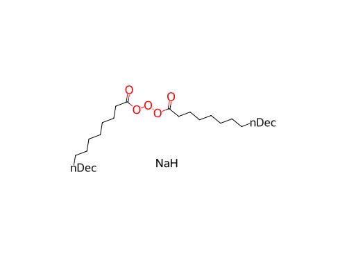 CCCCCCCCCCCCCCCCCC(=O)OOOC(=O)CCCCCCCCCCCCCCCCC.[NaH]